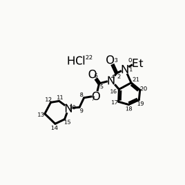 CCn1c(=O)n(C(=O)OCCN2CCCCC2)c2ccccc21.Cl